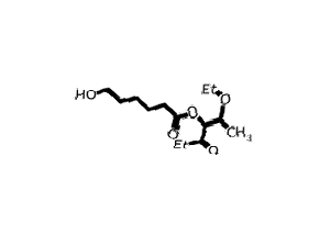 CCOC(C)C(OC(=O)CCCCCO)C(=O)CC